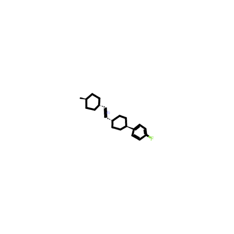 C[C@H]1CC[C@H](/C=C/[C@H]2CC[C@H](c3ccc(F)cc3)CC2)CC1